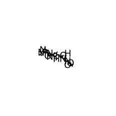 CCc1cc(-c2noc(-c3cc(C)nc(N(C)C(C)C)c3)n2)cc(C)c1CCC(=O)NCCNC(=O)OC(C)(C)C